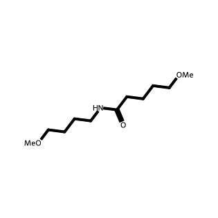 COCCCCNC(=O)CCCCOC